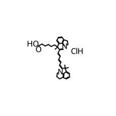 CC1(C)C(=CC=CC=CC2=CN3CCc4cccc(c43)C2(C)CCCCCC(=O)O)N2CCCc3cccc1c32.Cl